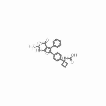 CC1NC(=O)c2c(oc(-c3ccc(C4(NC(=O)O)CCC4)cc3)c2-c2ccccc2)N1